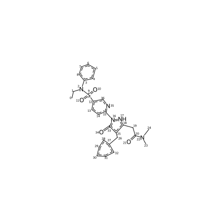 CCN(c1ccccc1)S(=O)(=O)c1ccc(-n2[nH]c(CC(=O)N(C)C)c(Cc3ccccc3)c2=O)nc1